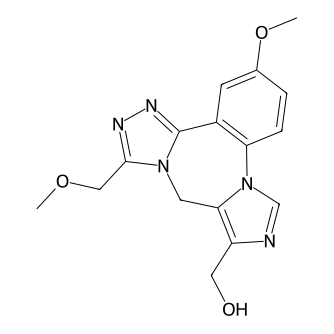 COCc1nnc2n1Cc1c(CO)ncn1-c1ccc(OC)cc1-2